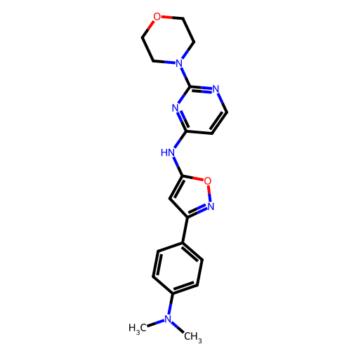 CN(C)c1ccc(-c2cc(Nc3ccnc(N4CCOCC4)n3)on2)cc1